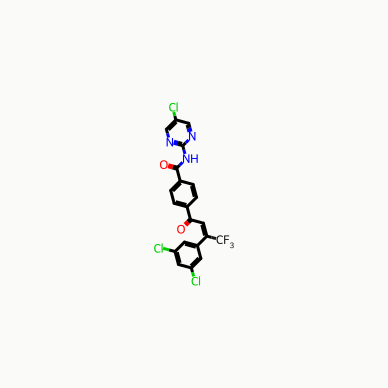 O=C(/C=C(\c1cc(Cl)cc(Cl)c1)C(F)(F)F)c1ccc(C(=O)Nc2ncc(Cl)cn2)cc1